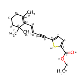 CCOC(=O)c1ccc(C#CC=CC2=C(C)CCCC2(C)C)s1